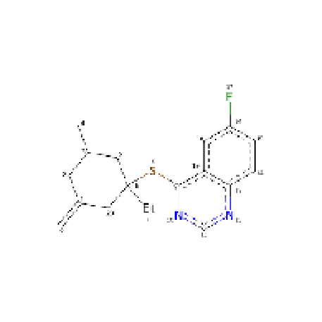 C=C1CC(C)CC(CC)(Sc2ncnc3ccc(F)cc23)C1